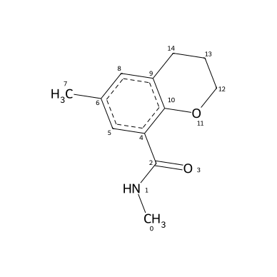 CNC(=O)c1cc(C)cc2c1OCCC2